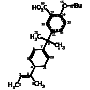 C/C=C(\C)C1C=CC(C(C)(C)c2ccc(OC(C)CC)c(C(=O)O)c2)=CC1